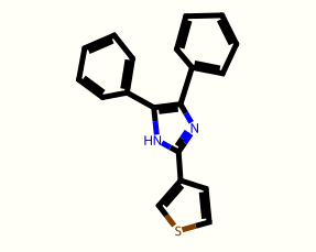 c1ccc(-c2nc(-c3ccsc3)[nH]c2-c2ccccc2)cc1